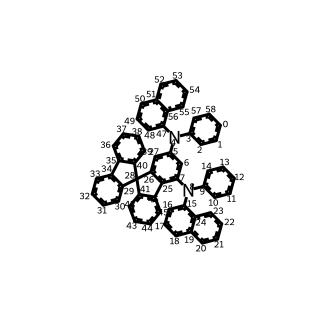 c1ccc(N(c2cc(N(c3ccccc3)c3cccc4ccccc34)c3c(c2)C2(c4ccccc4-c4ccccc42)c2ccccc2-3)c2cccc3ccccc23)cc1